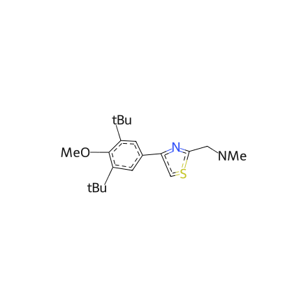 CNCc1nc(-c2cc(C(C)(C)C)c(OC)c(C(C)(C)C)c2)cs1